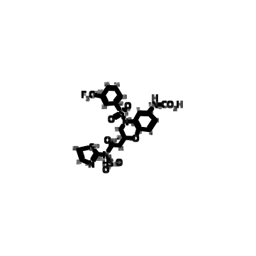 O=C(O)Nc1ccc2c(c1)N(S(=O)(=O)c1cccc(C(F)(F)F)c1)CC(CC(=O)N(c1nccs1)[SH](=O)=O)O2